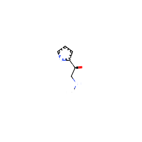 CNCC(=O)c1ccc[nH]1